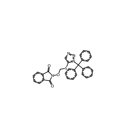 O=C1c2ccccc2C(=O)N1OCSc1cnnn1C(c1ccccc1)(c1ccccc1)c1ccccc1